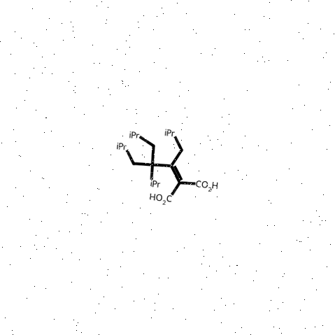 CC(C)CC(=C(C(=O)O)C(=O)O)C(CC(C)C)(CC(C)C)C(C)C